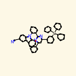 N#Cc1ccc2c(c1)c1ccccc1n2-c1ccccc1-c1nc(-c2ccccc2)cc(-c2cccc([Si](c3ccccc3)(c3ccccc3)c3ccccc3)c2)n1